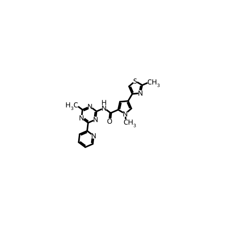 Cc1nc(NC(=O)c2cc(-c3csc(C)n3)cn2C)nc(-c2ccccn2)n1